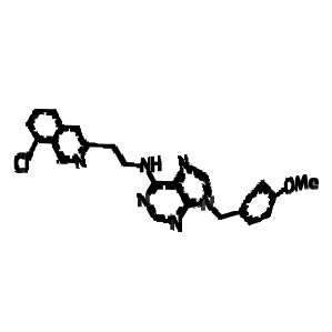 COc1ccc(Cn2cnc3c(NCCc4cc5cccc(Cl)c5[c]n4)ncnc32)cc1